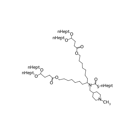 CCCCCCCOC(CCC(=O)OCCCCCCCC(CCCCCCCOC(=O)CCC(OCCCCCCC)OCCCCCCC)N(CC1CCN(C)CC1)C(=O)SCCCCCCC)OCCCCCCC